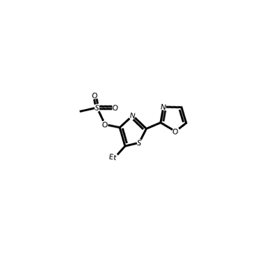 CCc1sc(-c2ncco2)nc1OS(C)(=O)=O